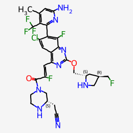 Cc1cc(N)nc(-c2c(Cl)cc3c(C=C(F)C(=O)N4CCN[C@@H](CC#N)C4)nc(OC[C@@H]4C[C@@H](CF)CN4)nc3c2F)c1C(F)(F)F